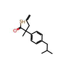 C=CCC(C)(C(=O)S)c1ccc(CC(C)C)cc1